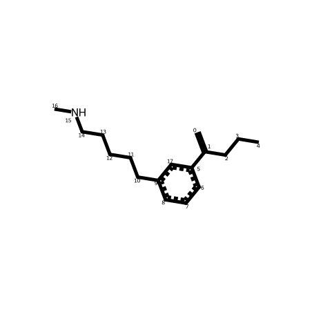 C=C(CCC)c1cccc(CCCCCNC)c1